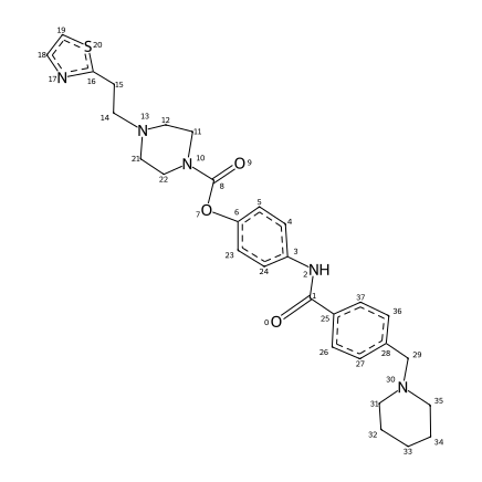 O=C(Nc1ccc(OC(=O)N2CCN(CCc3nccs3)CC2)cc1)c1ccc(CN2CCCCC2)cc1